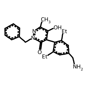 CCc1cc(CN)cc(CC)c1-c1c(O)c(C)nn(Cc2ccccc2)c1=O